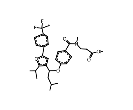 CC(C)CC(Oc1ccc(C(=O)N(C)CCC(=O)O)cc1)c1cc(-c2ccc(C(F)(F)F)cc2)oc1C(C)C